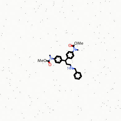 COC(=O)N(C)c1ccc(C(CCNCc2ccccc2)c2ccc(N(C)C(=O)OC)cc2)cc1